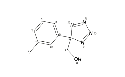 [CH2]c1cccc(C2(CO)N=NN=N2)c1